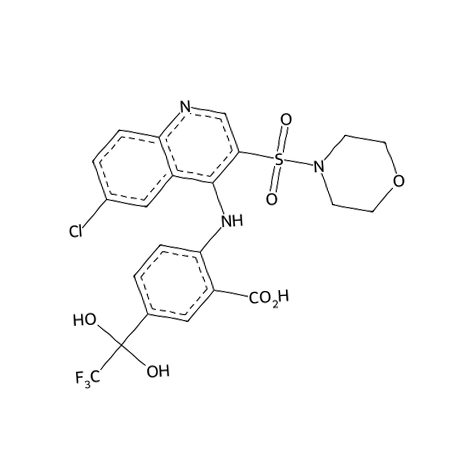 O=C(O)c1cc(C(O)(O)C(F)(F)F)ccc1Nc1c(S(=O)(=O)N2CCOCC2)cnc2ccc(Cl)cc12